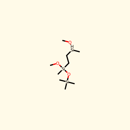 CO[SiH](C)CC[Si](C)(OC)O[Si](C)(C)C